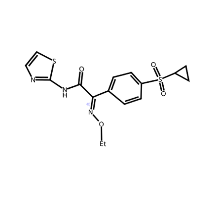 CCO/N=C(/C(=O)Nc1nccs1)c1ccc(S(=O)(=O)C2CC2)cc1